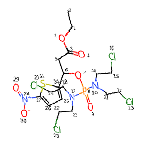 CCOC(=O)CC(OP(=O)(N(CCCl)CCCl)N(CCCl)CCCl)c1ccc([N+](=O)[O-])s1